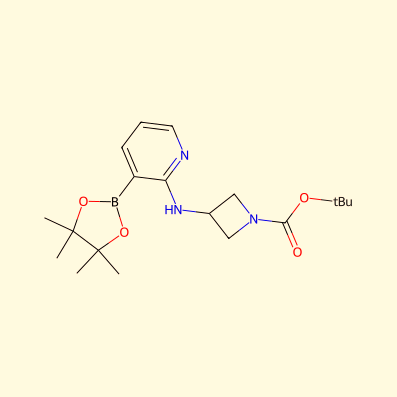 CC(C)(C)OC(=O)N1CC(Nc2ncccc2B2OC(C)(C)C(C)(C)O2)C1